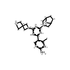 Cc1nc(N)ncc1-c1nc(N2CC3CCC(C2)O3)nc(N2CC3(COC3)C2)n1